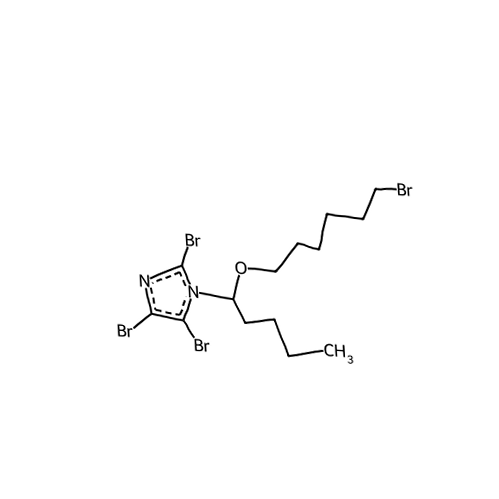 CCCCC(OCCCCCCBr)n1c(Br)nc(Br)c1Br